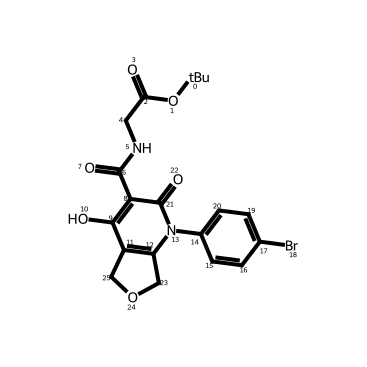 CC(C)(C)OC(=O)CNC(=O)c1c(O)c2c(n(-c3ccc(Br)cc3)c1=O)COC2